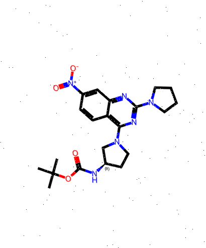 CC(C)(C)OC(=O)N[C@@H]1CCN(c2nc(N3CCCC3)nc3cc([N+](=O)[O-])ccc23)C1